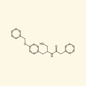 O=C(Cc1ccccc1)NC(CO)Cc1ccc(OCc2ccccc2)cc1